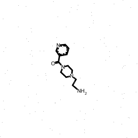 NCCN1CCN(C(=O)c2cccnc2)CC1